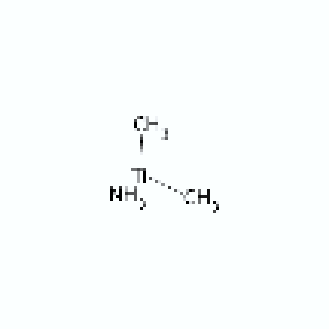 N.[CH3][Ti][CH3]